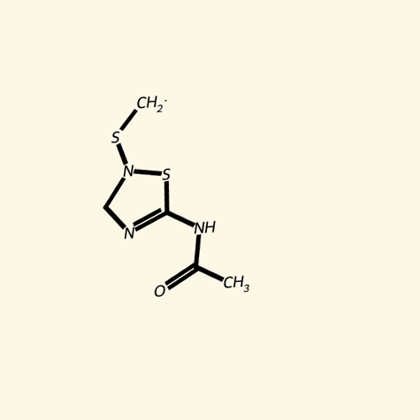 [CH2]SN1CN=C(NC(C)=O)S1